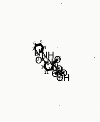 O=C(Nc1ccccn1)[C@@H]1CCC2CN1C(=O)N2OS(=O)(=O)O